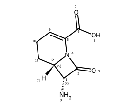 N[C@H]1C(=O)N2C(C(=O)O)=CCC[C@@H]12